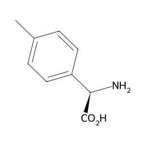 Cc1ccc([C@@H](N)C(=O)O)cc1